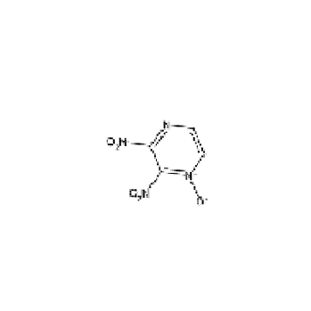 O=[N+]([O-])c1ncc[n+]([O-])c1[N+](=O)[O-]